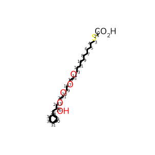 O=C(O)CSCCCCCCCCCCCOCCOCCOCCOCC(O)Cc1ccccc1